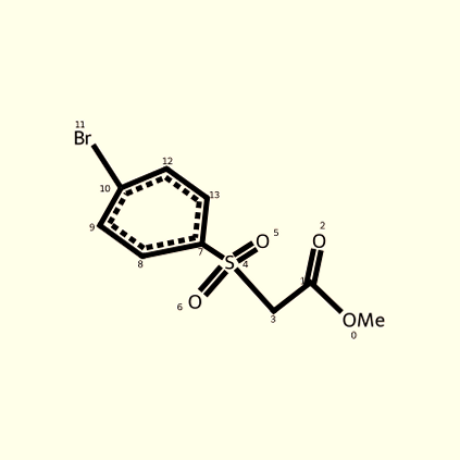 COC(=O)CS(=O)(=O)c1ccc(Br)cc1